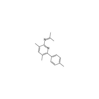 CC(C)=Nc1nc(-c2ccc(C)cc2)c(C)cc1C